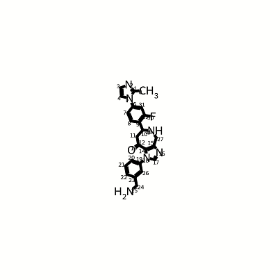 Cc1nccn1-c1ccc(C2CC(=O)c3c(ncn3-c3cccc(CN)c3)CN2)c(F)c1